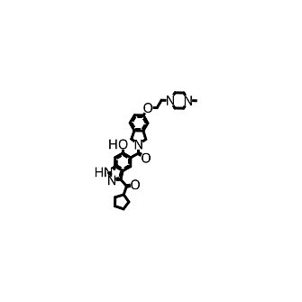 CN1CCN(CCOc2ccc3c(c2)CN(C(=O)c2cc4c(C(=O)C5CCCC5)n[nH]c4cc2O)C3)CC1